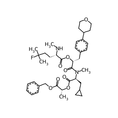 CN[C@@H](CCC(C)(C)F)C(=O)O[C@H](Cc1ccc(C2CCOCC2)cc1)C(=O)N(C)[C@@H](CC1CC1)C(=O)O[C@H](C)C(=O)OCc1ccccc1